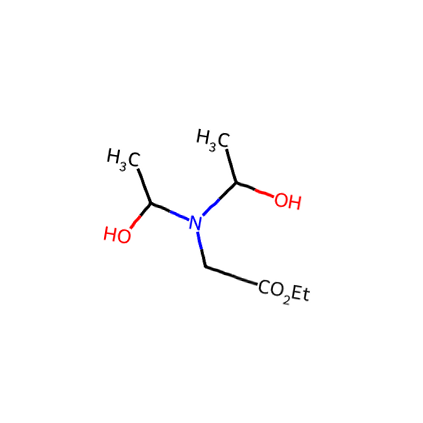 CCOC(=O)CN(C(C)O)C(C)O